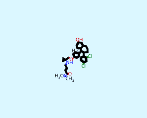 CN(C)C(=O)/C=C/CNC1(COc2ccc(C3=C(c4ccc(Cl)cc4Cl)CCCC4=CC(O)=CCC43C)cc2)CC1